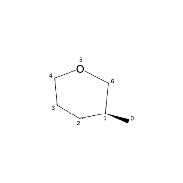 C[C@H]1[CH]CCOC1